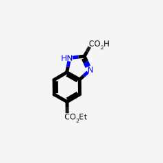 CCOC(=O)c1ccc2[nH]c(C(=O)O)nc2c1